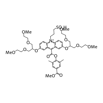 COCCOCC(COCCOC)Oc1ccc2c(c1)c(C(=O)Oc1c(C)cc(C(=O)OC)cc1C)c1cc(OC(COCCOC)COCCOC)ccc1[n+]2CCCS(=O)(=O)O